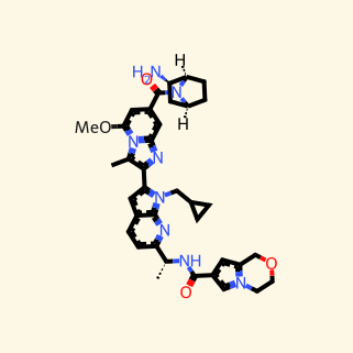 COc1cc(C(=O)N2[C@H]3CC[C@@H]2[C@H](N)C3)cc2nc(-c3cc4ccc([C@@H](C)NC(=O)c5cc6n(c5)CCOC6)nc4n3CC3CC3)c(C)n12